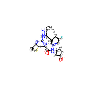 CC(Nc1nc(C(=O)N[C@@H]2CC[C@H](O)C2)c2sccc2n1)c1cncc(F)c1